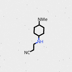 CNC1CCC(NCCC#N)CC1